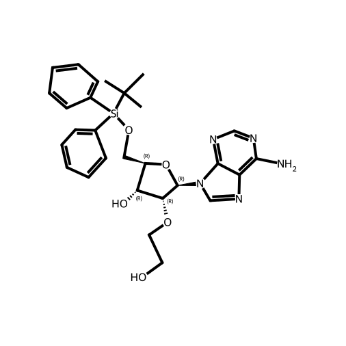 CC(C)(C)[Si](OC[C@H]1O[C@@H](n2cnc3c(N)ncnc32)[C@H](OCCO)[C@@H]1O)(c1ccccc1)c1ccccc1